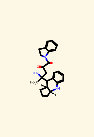 NC(CC(=O)C(=O)N1CCc2ccccc21)(C(=O)O)C1c2ccccc2N[C@@H]2CCC[C@H]12